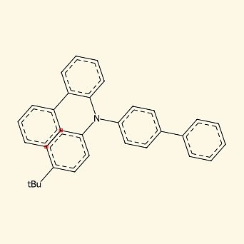 CC(C)(C)c1ccc(N(c2ccc(-c3ccccc3)cc2)c2ccccc2-c2ccccc2)cc1